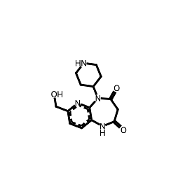 O=C1CC(=O)N(C2CCNCC2)c2nc(CO)ccc2N1